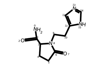 NC(=O)C1CCC(=O)N1CCc1cnc[nH]1